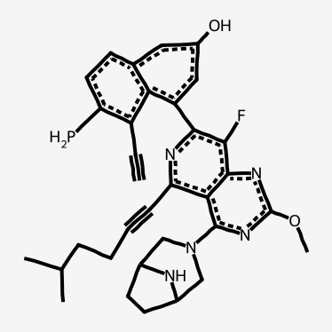 C#Cc1c(P)ccc2cc(O)cc(-c3nc(C#CCCC(C)C)c4c(N5CC6CCC(C5)N6)nc(OC)nc4c3F)c12